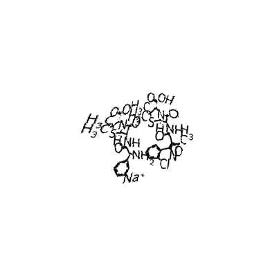 CC1(C)S[C@@H]2[C@H](NC(=O)C(N)c3ccccc3)C(=O)N2[C@H]1C(=O)[O-].Cc1onc(-c2ccccc2Cl)c1C(=O)N[C@@H]1C(=O)N2[C@@H]1SC(C)(C)[C@@H]2C(=O)O.[Na+]